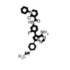 C/N=C/[C@H]1CC[C@H](c2cc(-c3ccc(NC(=O)c4cccn(-c5ccccc5)c4=O)cc3F)c3c(N)ncnn32)CC1